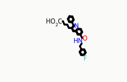 O=C(O)CCCCc1cc2cc(C(=O)NCCc3ccc(F)cc3)ccc2nc1-c1ccccc1